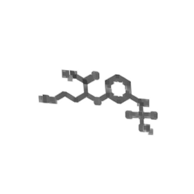 CCCCCCCCCCCCC(Oc1cccc(NS(C)(=O)=O)c1)C(N)=O